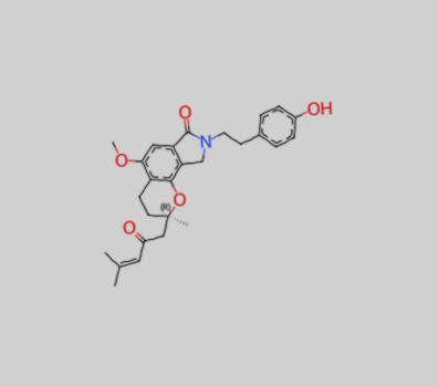 COc1cc2c(c3c1CC[C@](C)(CC(=O)C=C(C)C)O3)CN(CCc1ccc(O)cc1)C2=O